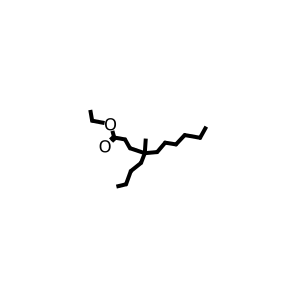 CCCCCCC(C)(CCCC)CCC(=O)OCC